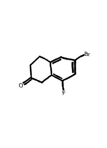 O=C1CCc2cc(Br)cc(F)c2C1